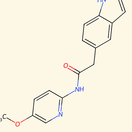 O=C(Cc1ccc2[nH]ccc2c1)Nc1ccc(OC(F)(F)F)cn1